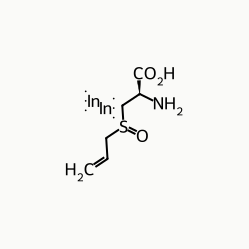 C=CCS(=O)C[C@H](N)C(=O)O.[In].[In]